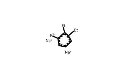 CCc1cccc([P-2])c1CC.[Na+].[Na+]